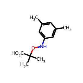 Cc1cc(C)cc(NOC(C)(C)C(=O)O)c1